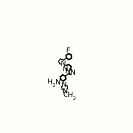 CN1CCN(c2cc(-c3cnc4ccc(N5CCCC5c5cccc(F)c5)nn34)ccc2N)CC1